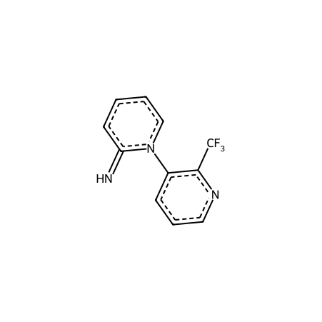 N=c1ccccn1-c1cccnc1C(F)(F)F